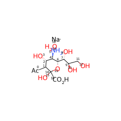 CC(=O)C1[C@H](O)[C@@H](N)[C@H]([C@H](O)[C@H](O)CO)OC1(O)C(=O)O.O.[Na]